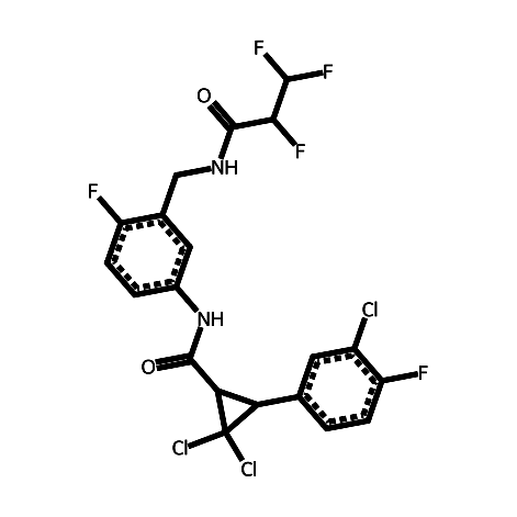 O=C(NCc1cc(NC(=O)C2C(c3ccc(F)c(Cl)c3)C2(Cl)Cl)ccc1F)C(F)C(F)F